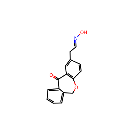 O=C1c2ccccc2COc2ccc(CC=NO)cc21